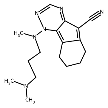 CN(C)CCCN(C)n1ncnc2c(C#N)c3c(c1-2)CCCC3